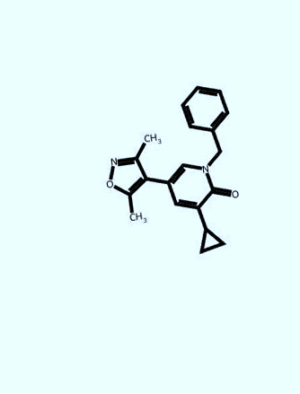 Cc1noc(C)c1-c1cc(C2CC2)c(=O)n(Cc2ccccc2)c1